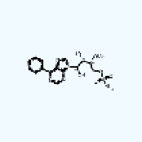 CO[C@H](COS(N)(=O)=O)[C@@H](O)[C@@H](O)n1cnc2c(-c3ccccc3)ncnc21